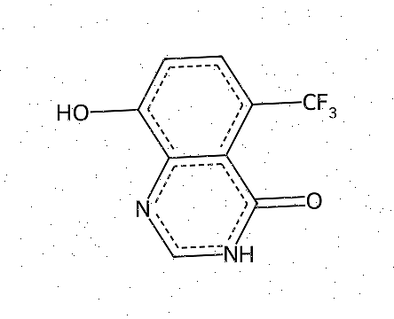 O=c1[nH]cnc2c(O)ccc(C(F)(F)F)c12